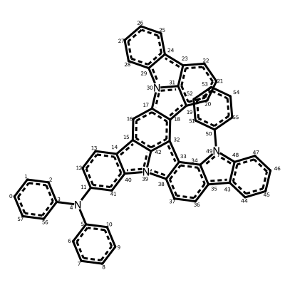 c1ccc(N(c2ccccc2)c2ccc3c4cc5c(c6cccc7c8ccccc8n5c76)c5c6c7c(ccc6n(c3c2)c45)c2ccccc2n7-c2ccccc2)cc1